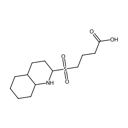 O=C(O)CCCS(=O)(=O)C1CCC2CCCCC2N1